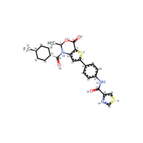 CC1OC(=O)c2sc(-c3ccc(NC(=O)c4cscn4)cc3)cc2N1C(=O)[C@H]1CC[C@H](C(F)(F)F)CC1